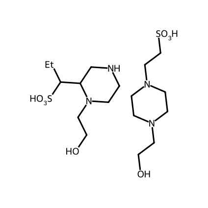 CCC(C1CNCCN1CCO)S(=O)(=O)O.O=S(=O)(O)CCN1CCN(CCO)CC1